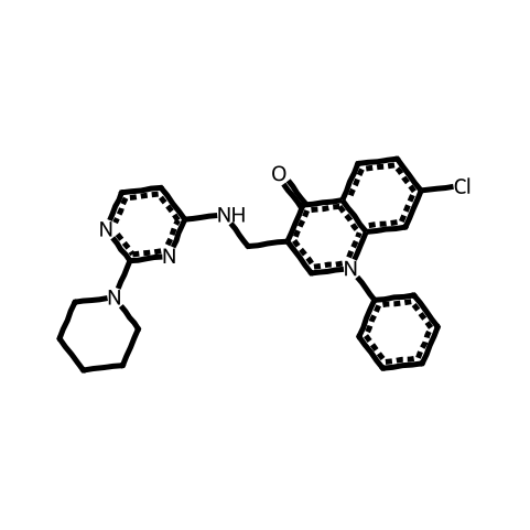 O=c1c(CNc2ccnc(N3CCCCC3)n2)cn(-c2ccccc2)c2cc(Cl)ccc12